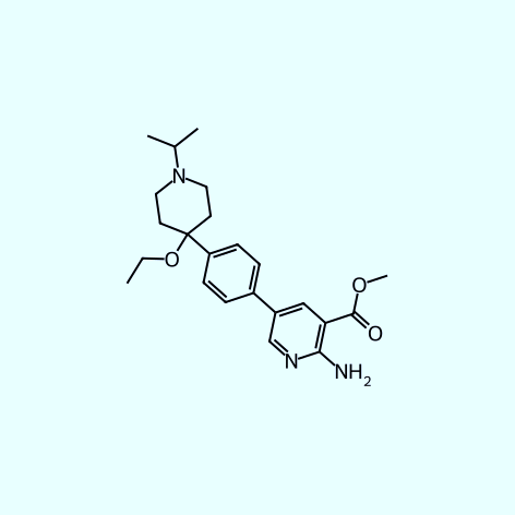 CCOC1(c2ccc(-c3cnc(N)c(C(=O)OC)c3)cc2)CCN(C(C)C)CC1